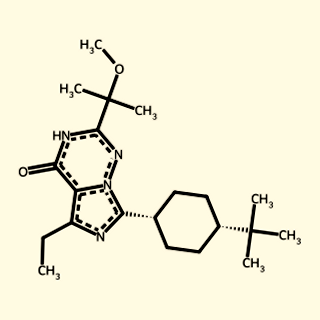 CCc1nc([C@H]2CC[C@@H](C(C)(C)C)CC2)n2nc(C(C)(C)OC)[nH]c(=O)c12